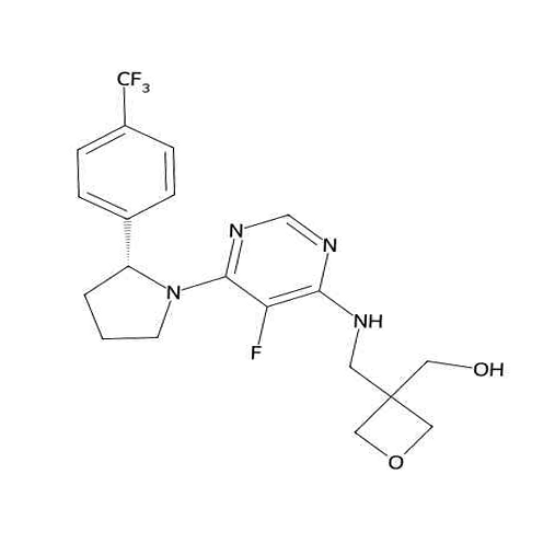 OCC1(CNc2ncnc(N3CCC[C@@H]3c3ccc(C(F)(F)F)cc3)c2F)COC1